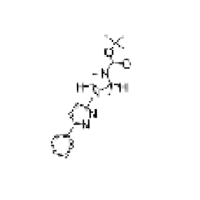 CC(C)(C)OC(=O)N1C[C@@H]2C[C@H]1CN2c1ccc(-c2ccccc2)nn1